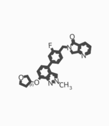 Cn1cc2c(-c3ccc(CN4Cc5ncccc5C4=O)c(F)c3)ccc(O[C@@H]3CCOC3)c2n1